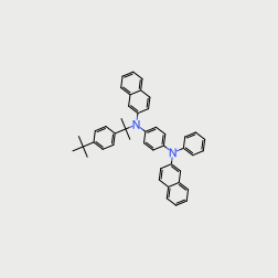 CC(C)(C)c1ccc(C(C)(C)N(c2ccc(N(c3ccccc3)c3ccc4ccccc4c3)cc2)c2ccc3ccccc3c2)cc1